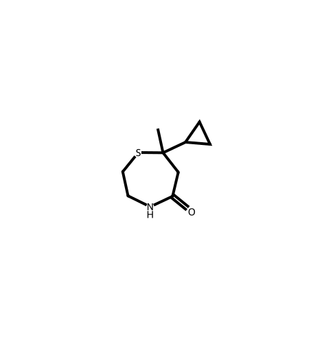 CC1(C2CC2)CC(=O)NCCS1